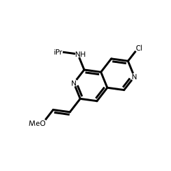 CO/C=C/c1cc2cnc(Cl)cc2c(NC(C)C)n1